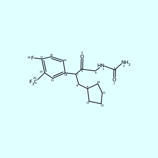 NC(=O)NCC(=O)C(CC1CCCC1)c1ccc(F)c(C(F)(F)F)c1